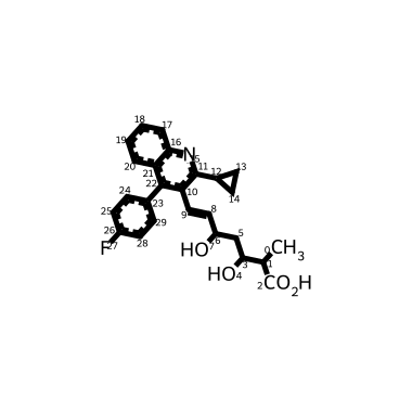 CC(C(=O)O)C(O)CC(O)/C=C/c1c(C2CC2)nc2ccccc2c1-c1ccc(F)cc1